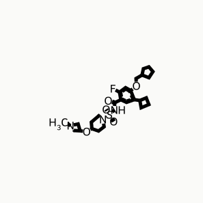 CN1CC(OC2CCN(S(=O)(=O)NC(=O)c3cc(C4CCC4)c(OCC4CCCC4)cc3F)CC2)C1